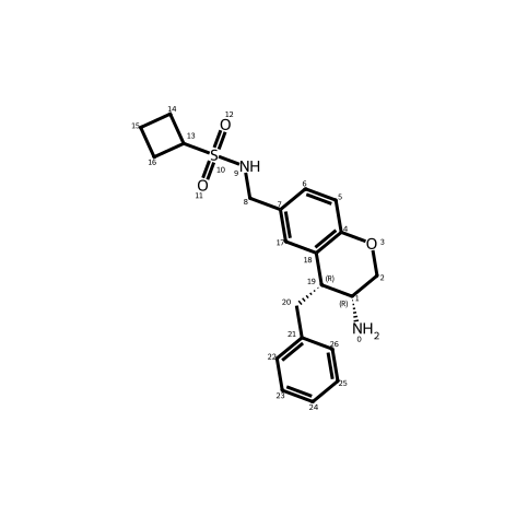 N[C@H]1COc2ccc(CNS(=O)(=O)C3CCC3)cc2[C@H]1Cc1ccccc1